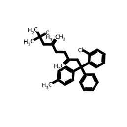 C=C(CCC(=C)CC(c1ccccc1)(c1ccc(C)cc1)c1ccccc1Cl)CC(C)(C)C